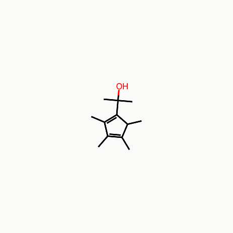 CC1=C(C)C(C)C(C(C)(C)O)=C1C